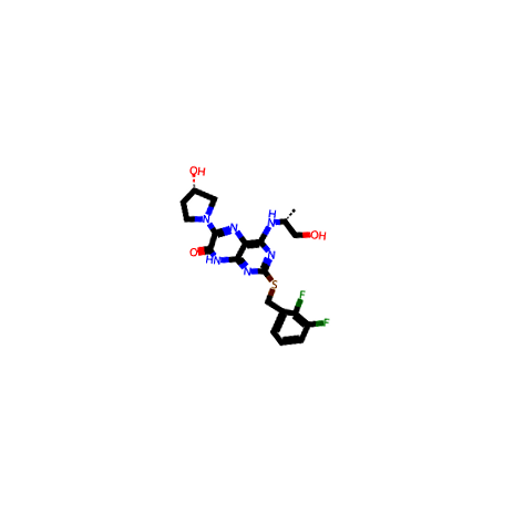 C[C@H](CO)Nc1nc(SCc2cccc(F)c2F)nc2[nH]c(=O)c(N3CC[C@H](O)C3)nc12